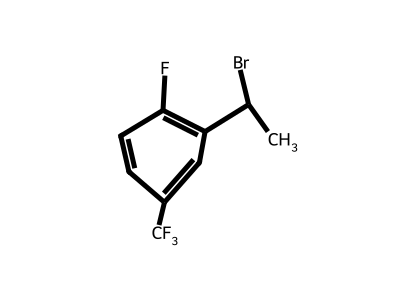 CC(Br)c1cc(C(F)(F)F)ccc1F